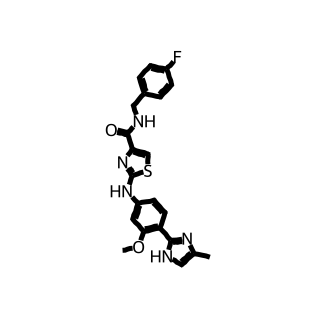 COc1cc(Nc2nc(C(=O)NCc3ccc(F)cc3)cs2)ccc1-c1nc(C)c[nH]1